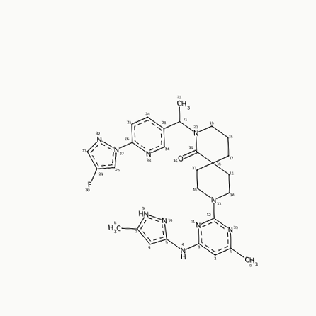 Cc1cc(Nc2cc(C)[nH]n2)nc(N2CCC3(CCCN(C(C)c4ccc(-n5cc(F)cn5)nc4)C3=O)CC2)n1